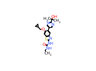 CCNC(=O)Nc1nc2cc(-c3cnc(C(C)(C)O)nc3)c(OCC3CC3)cc2s1